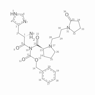 N[C@@H](Cc1c[nH]cn1)C(=O)N(C(=O)OCc1ccccc1)C(=O)[C@@H]1CCCN1CCCN1CCCC1=O